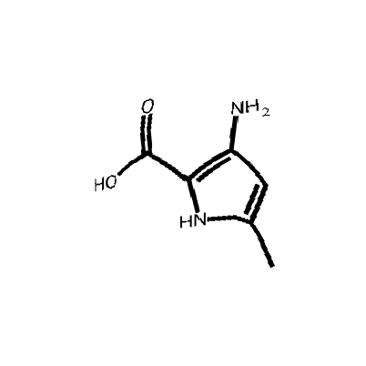 Cc1cc(N)c(C(=O)O)[nH]1